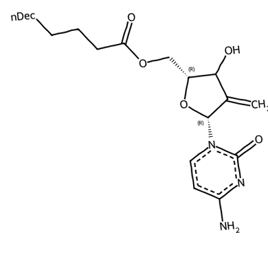 C=C1C(O)[C@@H](COC(=O)CCCCCCCCCCCCC)O[C@H]1n1ccc(N)nc1=O